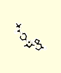 Cc1cc(N2CCC(=O)CC23CCC3)nn1C1CCN(C(=O)OC(C)(C)C)CC1